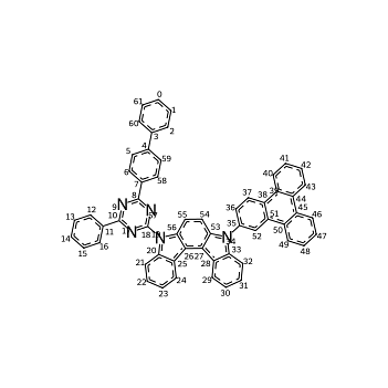 c1ccc(-c2ccc(-c3nc(-c4ccccc4)nc(-n4c5ccccc5c5c6c7ccccc7n(-c7ccc8c9ccccc9c9ccccc9c8c7)c6ccc54)n3)cc2)cc1